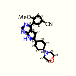 COc1ccc(C#N)cc1-c1ncnc2[nH]c(C3=CCC(N4CCOCC4)C=C3)cc12